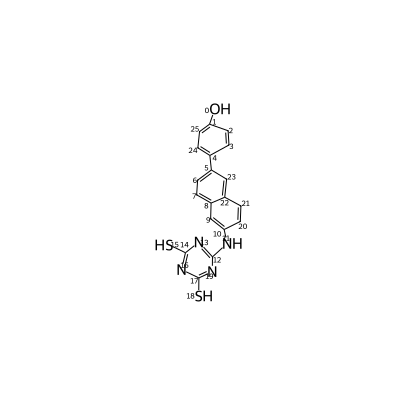 Oc1ccc(-c2ccc3cc(Nc4nc(S)nc(S)n4)ccc3c2)cc1